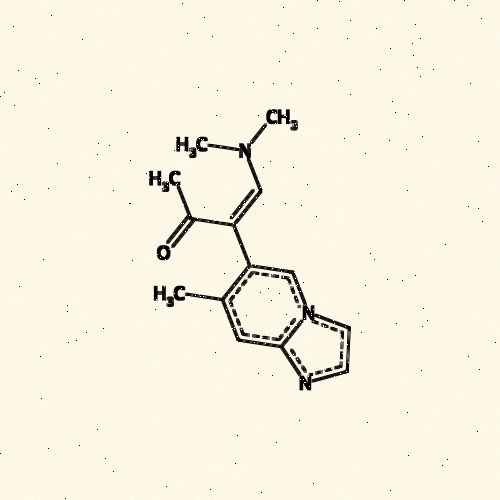 CC(=O)C(=CN(C)C)c1cn2ccnc2cc1C